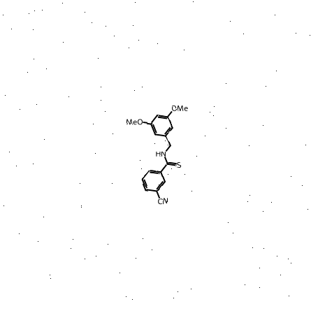 COc1cc(CNC(=S)c2cccc(C#N)c2)cc(OC)c1